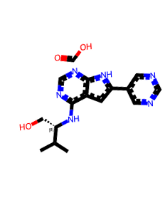 CC(C)[C@H](CO)Nc1ncnc2[nH]c(-c3cncnc3)cc12.O=CO